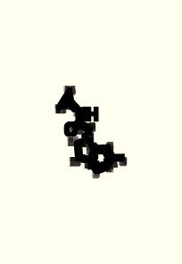 Cc1ccc2c(c1)N(CC(=O)NC1CC1)CC2